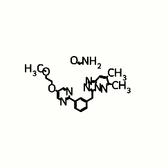 COCCOc1cnc(-c2cccc(Cc3nnc4cc(C)c(C)nn34)c2)nc1.NC=O